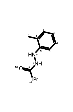 Cc1ccccc1NNC(=O)C(C)C